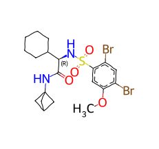 COc1cc(S(=O)(=O)N[C@@H](C(=O)NC23CC(C2)C3)C2CCCCC2)c(Br)cc1Br